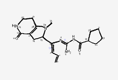 C=C/C=C(\N=C(/N)NC(=O)C1CCCC1)C1CC2=C(CCNC2=O)N1C